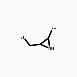 CCCC1NC1S